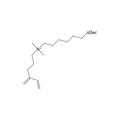 C=CC(=C)CCC[N+](C)(C)CCCCCCCCCCCCCCCC